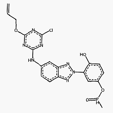 C=CCOc1nc(Cl)nc(Nc2ccc3nn(-c4cc(O[PH](C)=O)ccc4O)nc3c2)n1